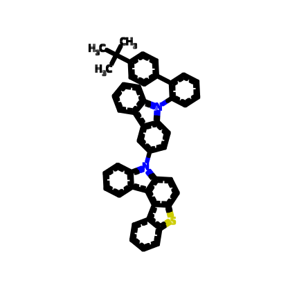 CC(C)(C)c1ccc(-c2ccccc2-n2c3ccccc3c3cc(-n4c5ccccc5c5c6c(ccc54)sc4ccccc46)ccc32)cc1